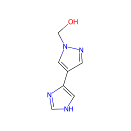 OCn1cc(-c2c[nH]cn2)cn1